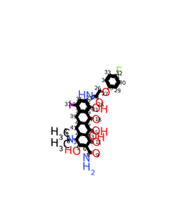 CN(C)[C@@H]1C(O)=C(C(N)=O)C(=O)[C@@]2(O)C(O)=C3C(=O)c4c(O)c(NC(=O)COc5ccc(F)cc5)cc(I)c4CC3CC12